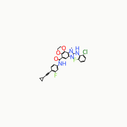 Cn1c(Nc2c(F)cccc2Cl)nc2cc(C(=O)Nc3ccc(C#CC4CC4)c(F)c3)c3c(c21)OCCO3